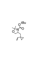 C=CC1(CC2COC(C)(C)N2C(=O)OC(C)(C)C)CC1